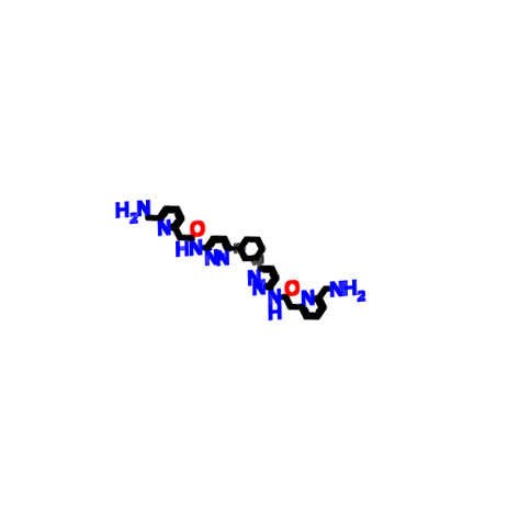 NCc1cccc(CC(=O)Nc2ccc([C@H]3CCC[C@H](c4ccc(NC(=O)Cc5cccc(CN)n5)nn4)C3)nn2)n1